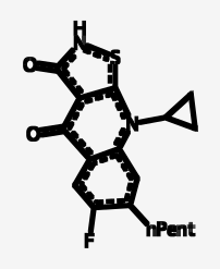 CCCCCc1cc2c(cc1F)c(=O)c1c(=O)[nH]sc1n2C1CC1